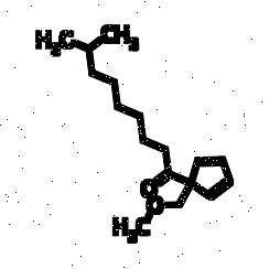 COCC1(C(=O)CCCCCCC(C)C)C=CC=C1